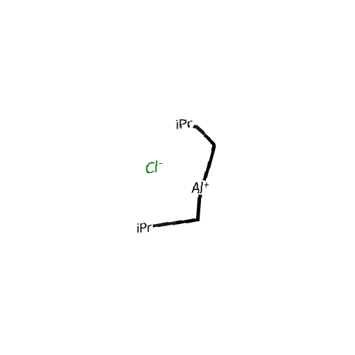 CC(C)[CH2][Al+][CH2]C(C)C.[Cl-]